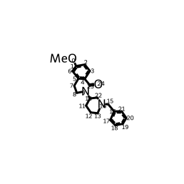 COc1ccc2c(c1)CCN(C1CCCN(Cc3ccccc3)C1)C2=O